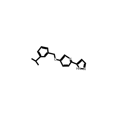 CC(C)c1cccc(COc2ccc(-c3ccn[nH]3)nc2)c1